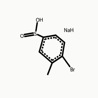 Cc1cc(S(=O)O)ccc1Br.[NaH]